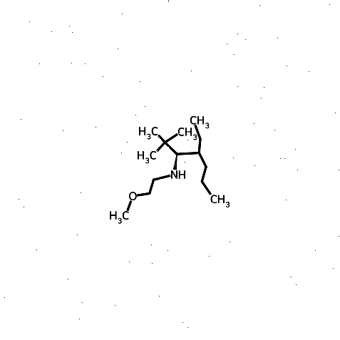 CCCC(CC)[C@@H](NCCOC)C(C)(C)C